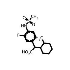 CC1CCCCC1C(C(=O)O)c1ccc(NS(C)(=O)=O)c(F)c1